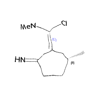 CN/C(Cl)=C1\C(=N)CC[C@H]1C